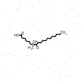 CCCCCCCCCCCC([O-])[N+](C)(C)CCCCCC(=O)O